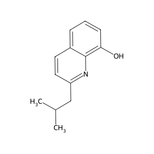 CC(C)Cc1ccc2cccc(O)c2n1